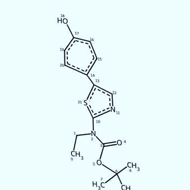 CCN(C(=O)OC(C)(C)C)c1ncc(-c2ccc(O)cc2)s1